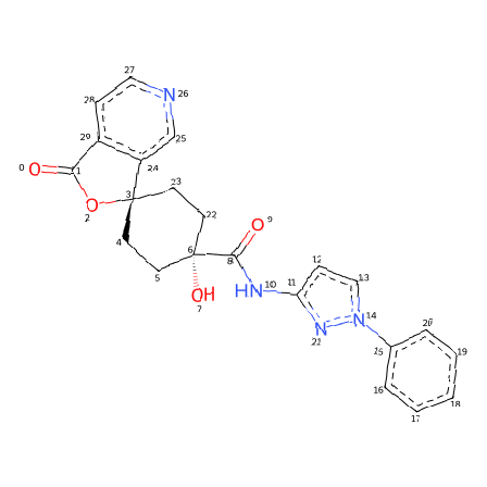 O=C1O[C@]2(CC[C@](O)(C(=O)Nc3ccn(-c4ccccc4)n3)CC2)c2cnccc21